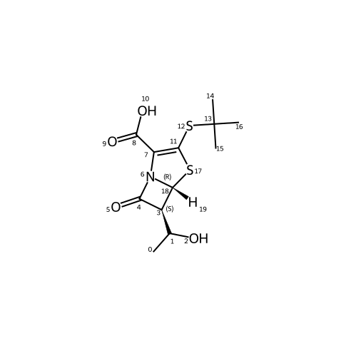 CC(O)[C@H]1C(=O)N2C(C(=O)O)=C(SC(C)(C)C)S[C@H]12